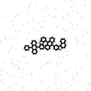 c1ccc(-c2c3ccccc3c(-c3cccc4c3oc3cccc(-c5c6ccccc6c(-c6ccc7oc8ccc9ccccc9c8c7c6)c6ccccc56)c34)c3ccccc23)cc1